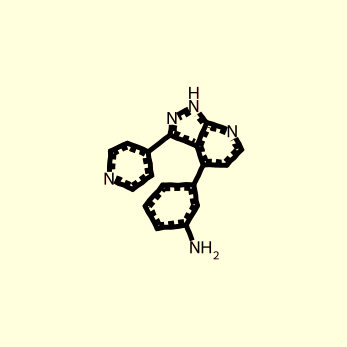 Nc1cccc(-c2ccnc3[nH]nc(-c4ccncc4)c23)c1